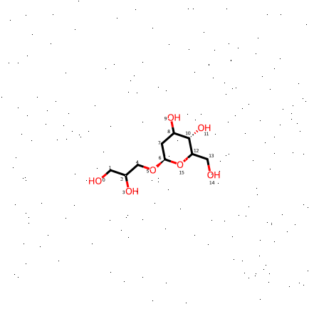 OCC(O)CO[C@H]1CC(O)[C@H](O)C(CO)O1